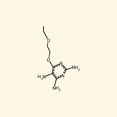 CCOCCOc1nc(N)nc(N)c1N